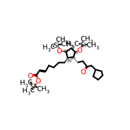 C[Si](C)(C)OC(=O)C=CCCCC[C@@H]1[C@@H](CCC(=O)CC2CCCC2)[C@H](O[Si](C)(C)C)C[C@@H]1O[Si](C)(C)C